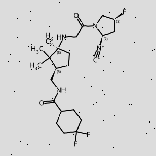 [C-]#[N+][C@@H]1C[C@H](F)CN1C(=O)CN[C@@]1(C)CC[C@@H](CNC(=O)C2CCC(F)(F)CC2)C1(C)C